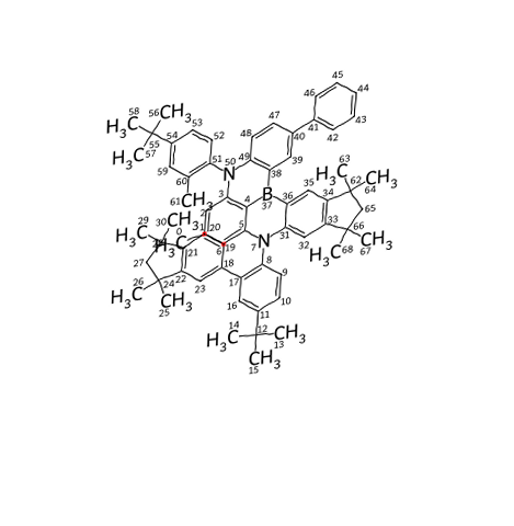 Cc1cc2c3c(c1)N(c1ccc(C(C)(C)C)cc1-c1ccc4c(c1)C(C)(C)CC4(C)C)c1cc4c(cc1B3c1cc(-c3ccccc3)ccc1N2c1ccc(C(C)(C)C)cc1C)C(C)(C)CC4(C)C